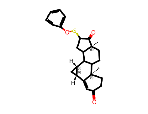 C[C@]12CCC(=O)C=C1[C@@H]1C[C@@H]1C1C2CC[C@]2(C)C(=O)C(SOc3ccccc3)CC12